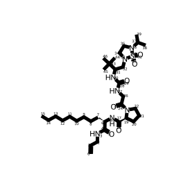 C=CCNC(=O)[C@H](CCCCCCCCC)NC(=O)[C@@H]1CCCN1C(=O)CNC(=O)NC(CN1CCN(C(C)C)S1(=O)=O)C(C)(C)C